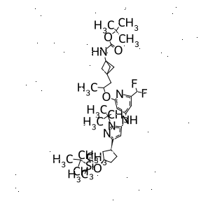 CC(CC12CC(NC(=O)OC(C)(C)C)(C1)C2)Oc1cc(Nc2cc([C@H]3CC[C@@H](O[Si](C)(C)C(C)(C)C)C3)nn2C(C)(C)C)cc(C(F)F)n1